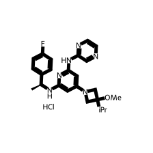 COC1(C(C)C)CN(c2cc(Nc3cnccn3)nc(N[C@@H](C)c3ccc(F)cc3)c2)C1.Cl